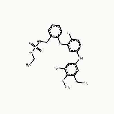 CCNS(=O)(=O)NCc1ccccc1Nc1nc(Nc2cc(C)c(OC)c(OC)c2)ncc1Cl